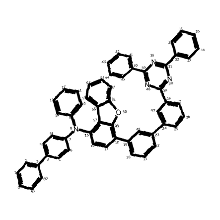 c1ccc(-c2ccc(N(c3ccccc3)c3ccc(-c4cccc(-c5cccc(-c6nc(-c7ccccc7)nc(-c7ccccc7)n6)c5)c4)c4oc5ccccc5c34)cc2)cc1